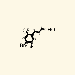 O=CCCCc1cc(F)c(Br)cc1Cl